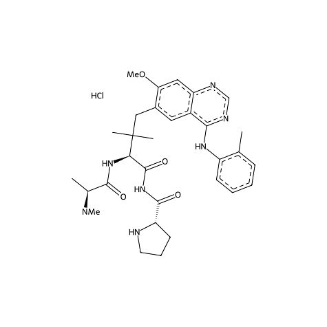 CN[C@@H](C)C(=O)N[C@H](C(=O)NC(=O)[C@@H]1CCCN1)C(C)(C)Cc1cc2c(Nc3ccccc3C)ncnc2cc1OC.Cl